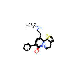 O=C(O)NCCc1cc(-c2ccccc2)c(=O)n2c1-c1sccc1CC2